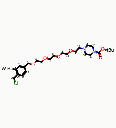 COc1cc(COCCOCCOCCOCCN2CCN(C(=O)OC(C)(C)C)CC2)ccc1CCl